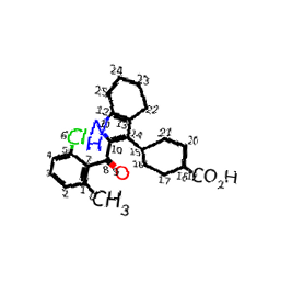 Cc1cccc(Cl)c1C(=O)c1[nH]c2c(c1C1CCC(C(=O)O)CC1)CCCC2